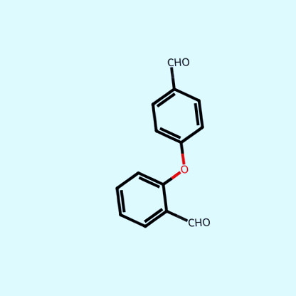 O=Cc1ccc(Oc2ccccc2C=O)cc1